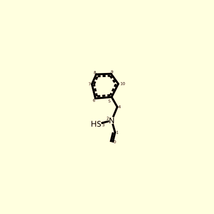 C=CN(S)Cc1ccccc1